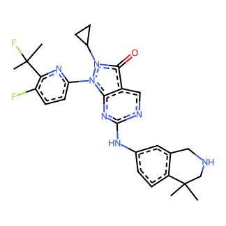 CC(C)(F)c1nc(-n2c3nc(Nc4ccc5c(c4)CNCC5(C)C)ncc3c(=O)n2C2CC2)ccc1F